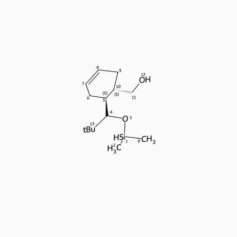 C[SiH](C)OC([C@H]1CC=CC[C@@H]1CO)C(C)(C)C